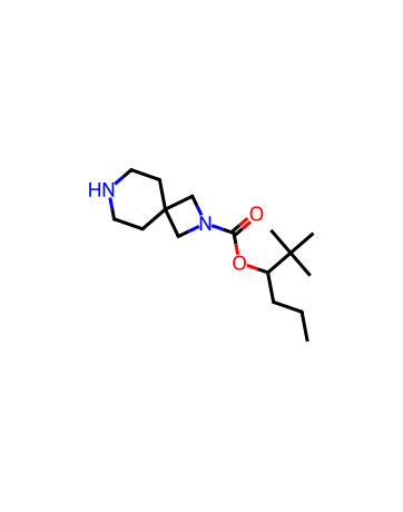 CCCC(OC(=O)N1CC2(CCNCC2)C1)C(C)(C)C